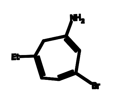 CCC1=CC=C(Br)C=C(N)C1